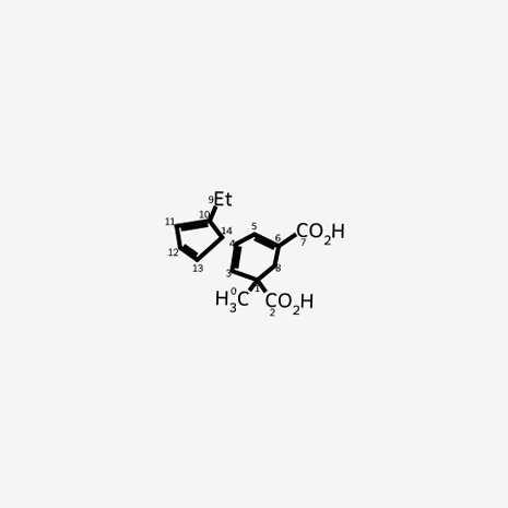 CC1(C(=O)O)C=CC=C(C(=O)O)C1.CCC1=CC=CC1